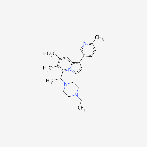 Cc1ccc(-c2ccn3c(C(C)N4CCN(CC(F)(F)F)CC4)c(C)c(C(=O)O)cc23)cn1